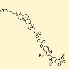 CCc1c2c(nc3ccc(OC(=O)OCOC(=O)CCC(=O)OC4CCC5(C)C(=CCC6C7CCC(CCCCC(C)C)C7(C)CC[C@@H]65)C4)cc13)-c1cc3c(c(=O)n1C2)COC(=O)[C@@]3(C)OSI